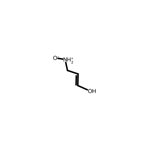 [O-][NH2+]CC=CO